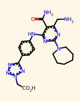 NCc1nc(N2CCCCCC2)nc(Nc2ccc(-c3nnn(CC(=O)O)n3)cc2)c1C(N)=O